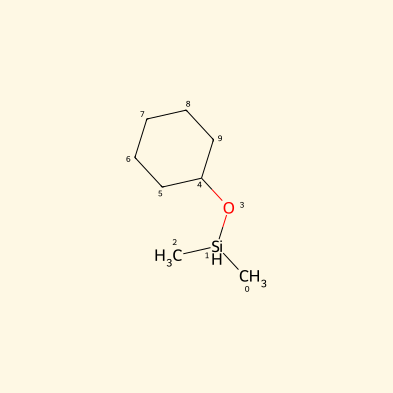 C[SiH](C)OC1CCCCC1